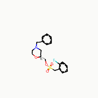 O=S(=O)(Cc1ccccc1F)OC[C@H]1CN(Cc2ccccc2)CCO1